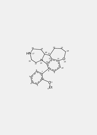 CCOc1ccccc1-c1ccc2c3c1N1CCNCCC1C3CCCO2